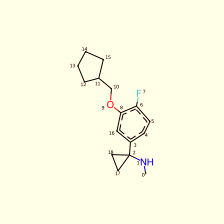 CNC1(c2ccc(F)c(OCC3CCCC3)c2)CC1